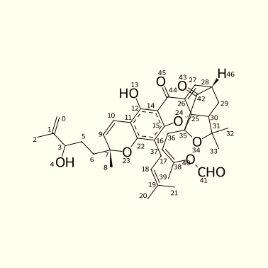 C=C(C)C(O)CC[C@]1(C)C=Cc2c(O)c3c(c(CC=C(C)C)c2O1)O[C@]12C(=C[C@@H]4CC1C(C)(C)OC2(C/C=C(/C)OC=O)C4=O)C3=O